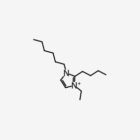 CCCCCCn1cc[n+](CC)c1CCCC